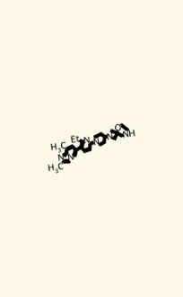 CCc1nc(N2CCC(N3CC4(CNCCO4)C3)CC2)ccc1-c1cc(C)c2nc(C)cn2c1